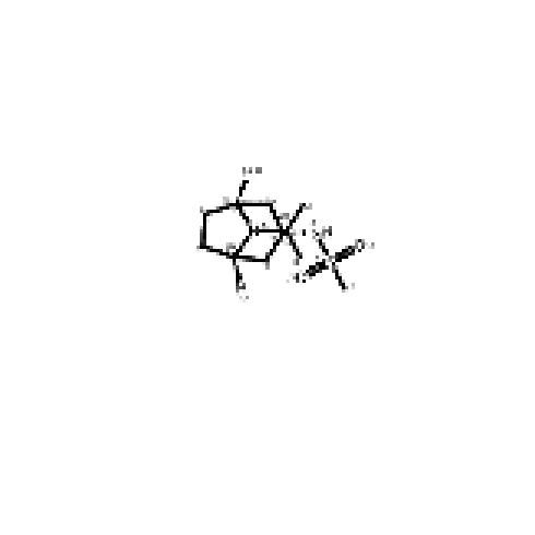 CC(C)N1[C@@H]2CC[C@H]1C[C@@H](NS(C)(=O)=O)C2